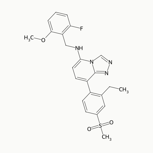 CCc1cc(S(C)(=O)=O)ccc1-c1ccc(NCc2c(F)cccc2OC)n2cnnc12